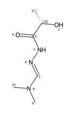 C[C@H](O)C(=O)NN=CN(C)C